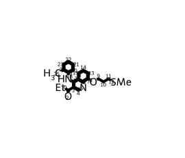 CCC(=O)c1cnc2c(OCCCSC)cccc2c1Nc1ccccc1C